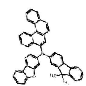 CC1(C)c2ccccc2-c2ccc(N(c3ccc4c(c3)oc3ccccc34)c3cc4ccc5ccccc5c4c4ccccc34)cc21